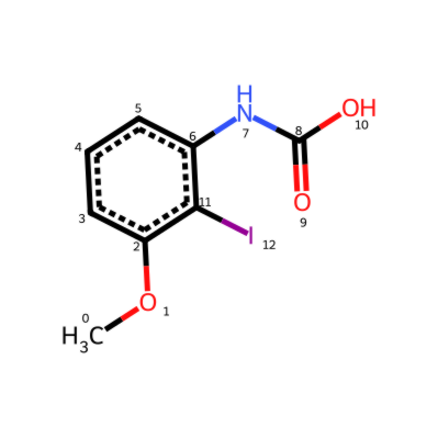 COc1cccc(NC(=O)O)c1I